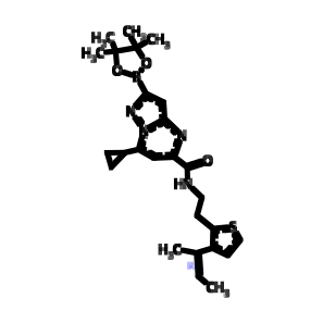 C/C=C(/C)c1ccsc1CCNC(=O)c1cc(C2CC2)n2nc(B3OC(C)(C)C(C)(C)O3)cc2n1